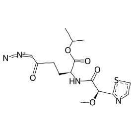 CO[C@@H](C(=O)N[C@@H](CCC(=O)C=[N+]=[N-])C(=O)OC(C)C)c1nccs1